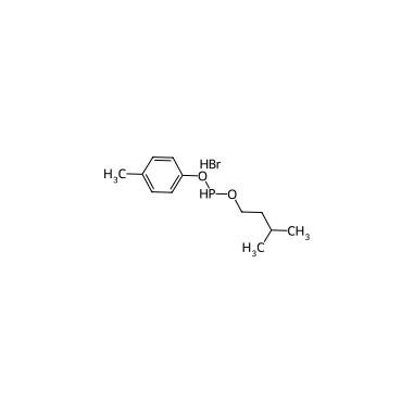 Br.Cc1ccc(OPOCCC(C)C)cc1